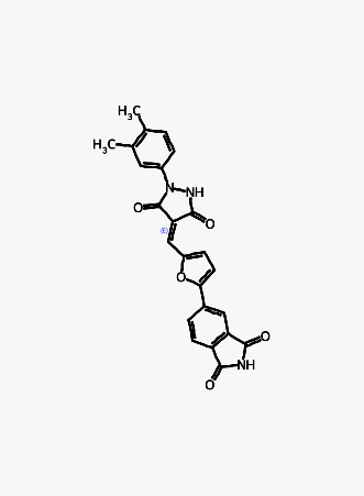 Cc1ccc(N2NC(=O)/C(=C\c3ccc(-c4ccc5c(c4)C(=O)NC5=O)o3)C2=O)cc1C